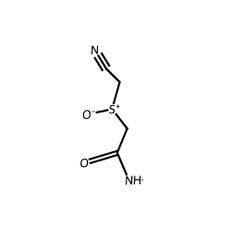 N#CC[S+]([O-])CC([NH])=O